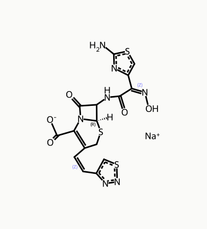 Nc1nc(/C(=N/O)C(=O)NC2C(=O)N3C(C(=O)[O-])=C(/C=C\c4csnn4)CS[C@H]23)cs1.[Na+]